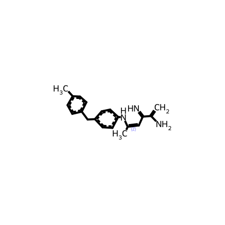 C=C(N)C(=N)/C=C(/C)Nc1ccc(Cc2ccc(C)cc2)cc1